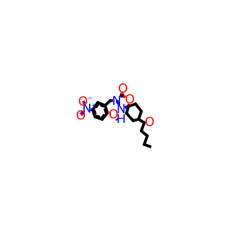 CCCCC(=O)C1CCC2(CC1)NN(Cc1cc([N+](=O)[O-])ccc1OC)C(=O)O2